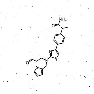 CC(C(N)=O)c1ccc(-c2csc(N(CC[C]=O)Cc3cccs3)n2)cc1